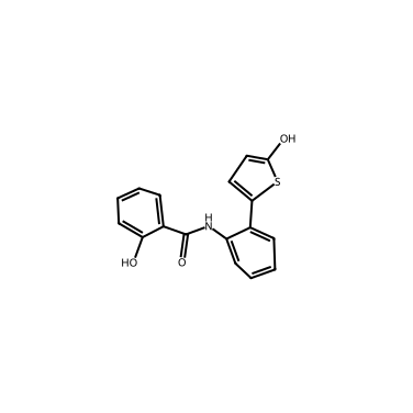 O=C(Nc1ccccc1-c1ccc(O)s1)c1ccccc1O